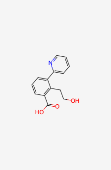 O=C(O)c1cccc(-c2ccccn2)c1CCO